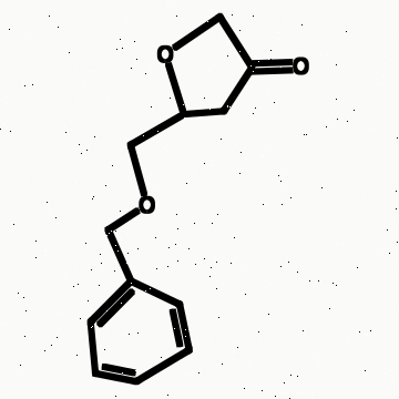 O=C1COC(COCc2ccccc2)C1